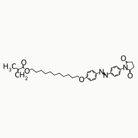 C=C(C)C(=O)OCCCCCCCCCCCOc1ccc(N=Nc2ccc(N3C(=O)CCC3=O)cc2)cc1